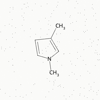 Cc1ccn(C)c1